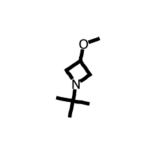 COC1CN(C(C)(C)C)C1